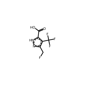 O=C(O)c1[nH]nc(CF)c1C(F)(F)F